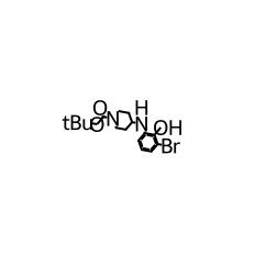 CC(C)(C)OC(=O)N1CCC(Nc2cccc(Br)c2O)CC1